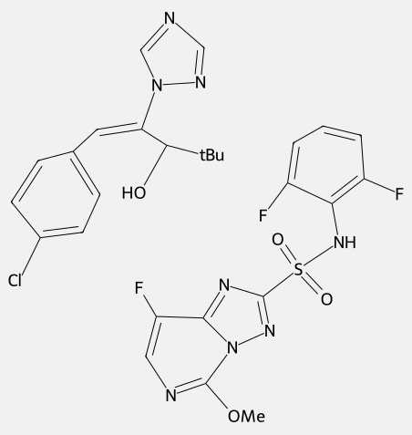 CC(C)(C)C(O)/C(=C\c1ccc(Cl)cc1)n1cncn1.COc1ncc(F)c2nc(S(=O)(=O)Nc3c(F)cccc3F)nn12